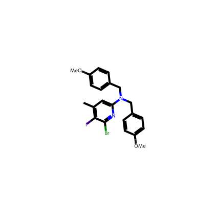 COc1ccc(CN(Cc2ccc(OC)cc2)c2cc(C)c(I)c(Br)n2)cc1